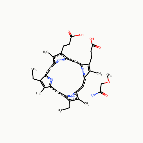 CCC1=C(C)c2cc3[nH]c(cc4nc(cc5[nH]c(cc1n2)c(C)c5CCC(=O)O)C(CCC(=O)O)=C4C)c(C)c3CC.COCC(N)=O